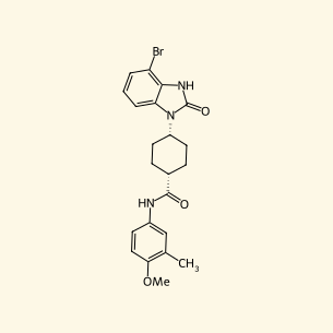 COc1ccc(NC(=O)[C@H]2CC[C@@H](n3c(=O)[nH]c4c(Br)cccc43)CC2)cc1C